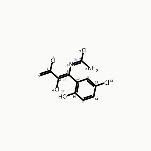 C=C(Cl)/C(Cl)=C(\N=C(/N)Cl)c1cc(Cl)ccc1O